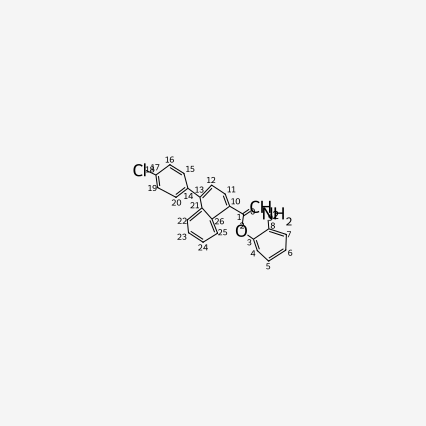 C=C(Oc1ccccc1N)c1ccc(-c2ccc(Cl)cc2)c2ccccc12